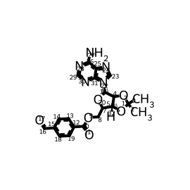 CC1(C)OC2[C@H](O1)C(COC(=O)c1ccc(C=O)cc1)O[C@H]2n1cnc2c(N)ncnc21